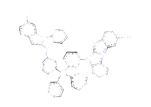 N#Cc1ccc2cc3n(-c4cccc([Si](c5ccccc5)(c5ccccc5)c5cccc(-n6c7ccccc7n7c8cc(C#N)ccc8nc67)c5)c4)c4ccccc4n3c2c1